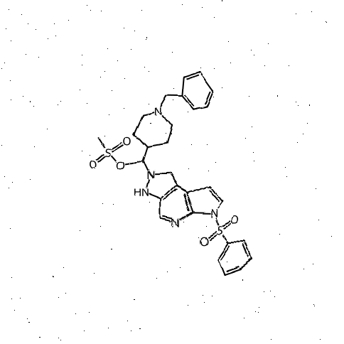 CS(=O)(=O)OC(C1CCN(Cc2ccccc2)CC1)N1Cc2c(cnc3c2ccn3S(=O)(=O)c2ccccc2)N1